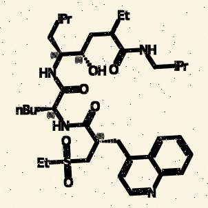 CCCC[C@H](NC(=O)[C@H](Cc1ccnc2ccccc12)CS(=O)(=O)CC)C(=O)N[C@@H](CC(C)C)[C@@H](O)CC(CC)C(=O)NCC(C)C